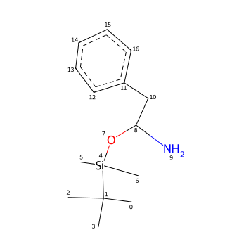 CC(C)(C)[Si](C)(C)OC(N)Cc1ccccc1